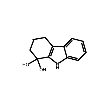 OC1(O)C[CH]Cc2c1[nH]c1ccccc21